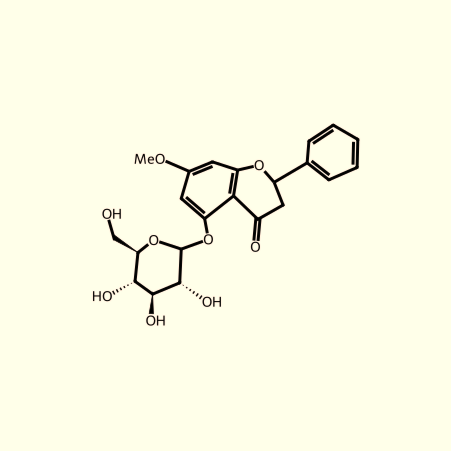 COc1cc2c(c(OC3O[C@H](CO)[C@@H](O)[C@H](O)[C@H]3O)c1)C(=O)CC(c1ccccc1)O2